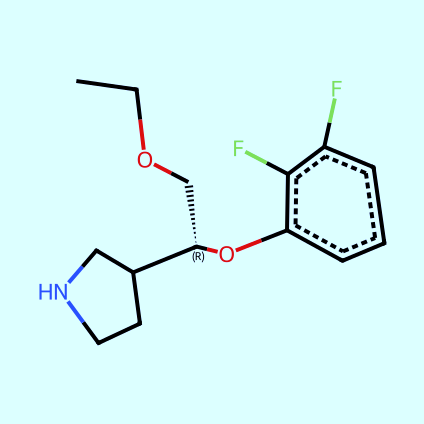 CCOC[C@H](Oc1cccc(F)c1F)C1CCNC1